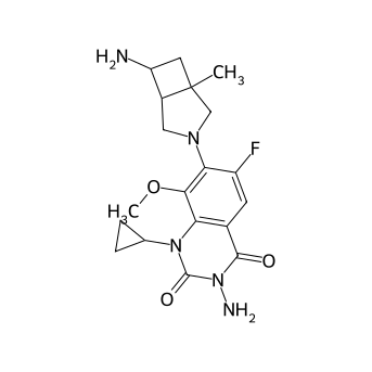 COc1c(N2CC3C(N)CC3(C)C2)c(F)cc2c(=O)n(N)c(=O)n(C3CC3)c12